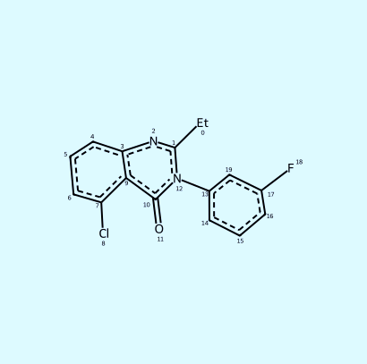 CCc1nc2cccc(Cl)c2c(=O)n1-c1cccc(F)c1